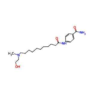 CN(CCO)CCCCCCCCCCC(=O)Nc1ccc(C(N)=O)cc1